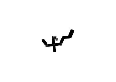 C=CCO[Si](C)(N)OC